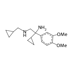 COc1ccc(C(N)(CNCC2CC2)C2CC2)cc1OC